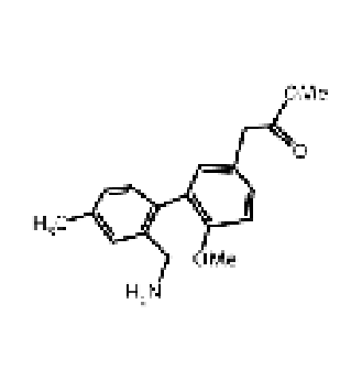 COC(=O)Cc1ccc(OC)c(-c2ccc(C)cc2CN)c1